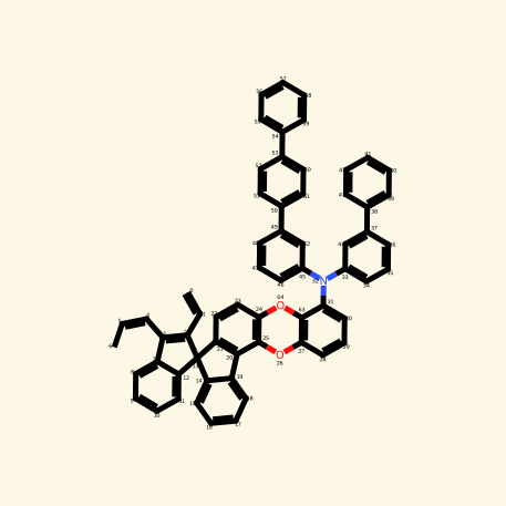 C=CC1=C(/C=C\C)c2ccccc2C12c1ccccc1-c1c2ccc2c1Oc1cccc(N(c3cccc(-c4ccccc4)c3)c3cccc(-c4ccc(-c5ccccc5)cc4)c3)c1O2